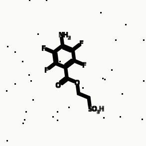 Nc1c(F)c(F)c(C(=O)OCCS(=O)(=O)O)c(F)c1F